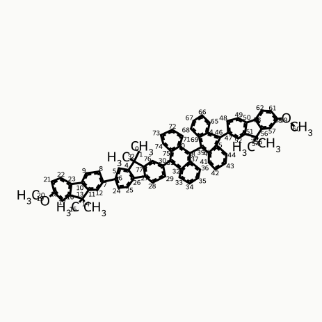 CCC1(C)c2cc(-c3ccc4c(c3)C(C)(C)c3cc(OC)ccc3-4)ccc2-c2ccc(-c3c4ccccc4c(-c4c5ccccc5c(-c5ccc6c(c5)C(C)(C)c5cc(OC)ccc5-6)c5ccccc45)c4ccccc34)cc21